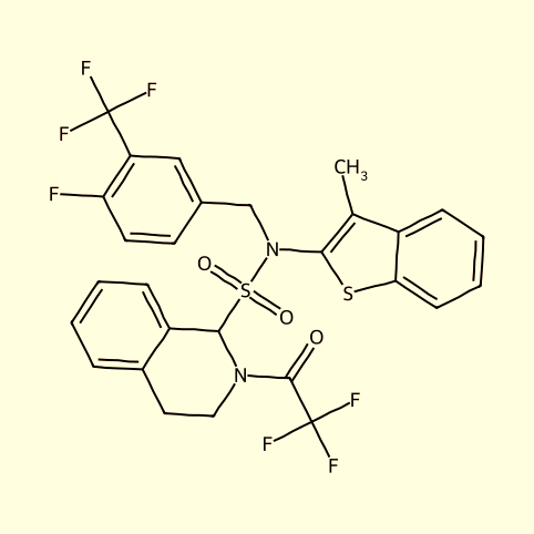 Cc1c(N(Cc2ccc(F)c(C(F)(F)F)c2)S(=O)(=O)C2c3ccccc3CCN2C(=O)C(F)(F)F)sc2ccccc12